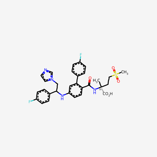 C[C@@](CCS(C)(=O)=O)(NC(=O)c1ccc(NC(Cn2ccnc2)c2ccc(F)cc2)cc1-c1ccc(F)cc1)C(=O)O